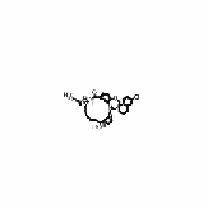 COCC[C@H]1CC/C=C/[C@H](O)[C@@H]2CC[C@H]2CN2C[C@@]3(CCCc4cc(Cl)ccc43)COc3ccc(cc32)C(=O)NS1(=O)=O